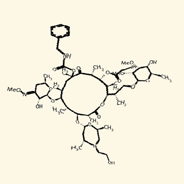 CON=C1C[C@@H](C)O[C@@H](O[C@@H]2[C@@H](C)[C@H](O[C@H]3C[C@@H](C)N(CCO)C[C@H](C)O3)[C@@H](C)C(=O)O[C@H]([C@@H](C)CO[C@@H]3O[C@H](C)[C@@H](O)[C@@H](OC)[C@H]3OC)[C@H](C)[C@@H](OC(=O)CC(C)C)[C@@H](C)C(=O)[C@@](C)(OC(=O)NCc3ccccc3)C[C@@H]2C)[C@@H]1O